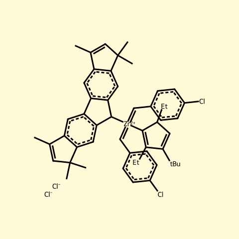 CCC1=[C]([Zr+2](=[CH]c2ccc(Cl)cc2)(=[CH]c2ccc(Cl)cc2)[CH]2c3cc4c(cc3-c3cc5c(cc32)C(C)(C)C=C5C)C(C)=CC4(C)C)C(CC)C=C1C(C)(C)C.[Cl-].[Cl-]